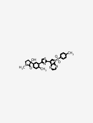 Cc1ccc(S(=O)(=O)n2cc(-c3nc(-c4cc([C@]5(O)CCN(C)C5=O)ccc4C)cs3)c3nccnc32)cc1